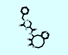 CC(C)CC(NC(=O)OCc1ccccc1)C(=O)NC1Cc2cnccc2CCCNC(=O)C1=O